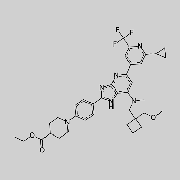 CCOC(=O)C1CCN(c2ccc(-c3nc4nc(-c5cc(C6CC6)nc(C(F)(F)F)c5)cc(N(C)CC5(COC)CCC5)c4[nH]3)cc2)CC1